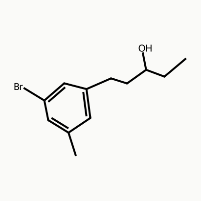 CCC(O)C[CH]c1cc(C)cc(Br)c1